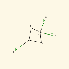 FC1CC(F)(F)C1